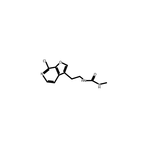 CNC(=O)NCCc1coc2c(Cl)nccc12